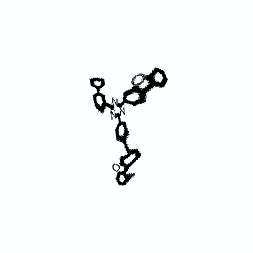 c1ccc(-c2cccc(-c3nc(-c4ccc(-c5ccc6c(c5)oc5ccccc56)cc4)nc(-c4ccc5c(c4)oc4ccccc45)n3)c2)cc1